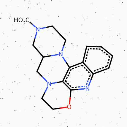 O=C(O)N1CCN2c3c4c(nc5ccccc35)OCCN4CC2C1